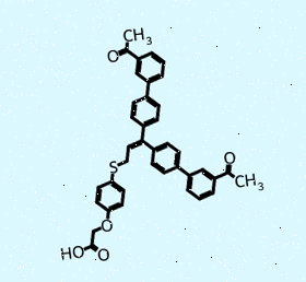 CC(=O)c1cccc(-c2ccc(C(=CCSc3ccc(OCC(=O)O)cc3)c3ccc(-c4cccc(C(C)=O)c4)cc3)cc2)c1